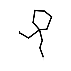 ICCC1(CI)CCCCC1